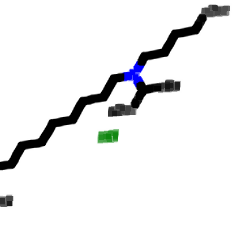 CCCCCCCC/C=C\CCCCCCCCN(CCCCCCCCCCCCCC)C(CCCC)CCCCCCCCCC.Cl